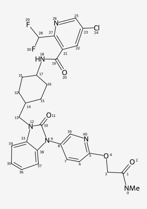 CNC(=O)COc1ccc(-n2c(=O)n(CC3CCC(NC(=O)c4cc(Cl)cnc4C(F)F)CC3)c3ccccc32)cn1